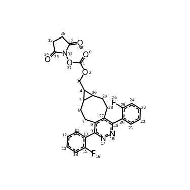 O=C(OCC1C2CCc3c(-c4ccccc4F)nnc(-c4ccccc4F)c3CCC21)ON1C(=O)CCC1=O